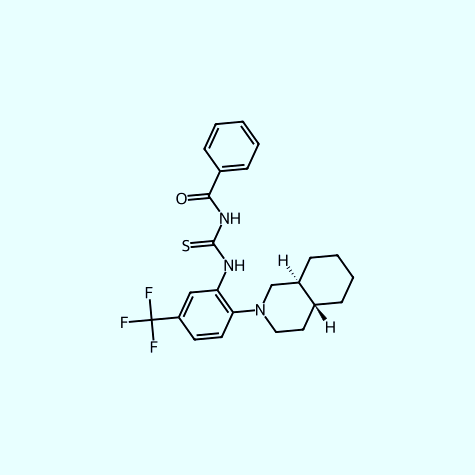 O=C(NC(=S)Nc1cc(C(F)(F)F)ccc1N1CC[C@H]2CCCC[C@@H]2C1)c1ccccc1